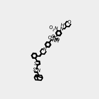 O=C(NS(=O)(=O)c1ccc(NCC2CCOCC2)c([N+](=O)[O-])c1)c1ccc(N2CCC(=Cc3ccccc3-c3ccc(-c4nc(C56CC7CC(CC(C7)C5)C6)cs4)s3)CC2)cc1